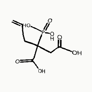 C=CCC(CC(=O)O)(C(=O)O)P(=O)(O)O